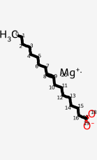 CCCCCCCCC=CCCCCCCCC(=O)[O-].[Mg+]